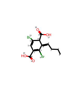 CCCC=C1C(Br)=C(C(=O)O)C=C(Br)C1C(=O)O